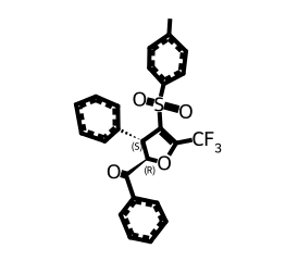 Cc1ccc(S(=O)(=O)C2=C(C(F)(F)F)O[C@@H](C(=O)c3ccccc3)[C@@H]2c2ccccc2)cc1